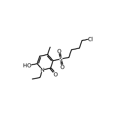 CCn1c(O)cc(C)c(S(=O)(=O)CCCCCl)c1=O